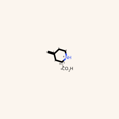 C=C1CCN[C@H](C(=O)O)C1